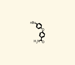 CCCCc1ccc(Oc2ccc(C(N)=O)cc2)cc1